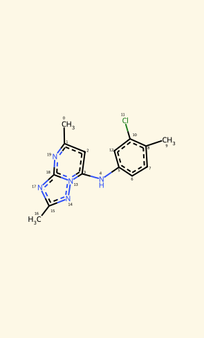 Cc1cc(Nc2ccc(C)c(Cl)c2)n2nc(C)nc2n1